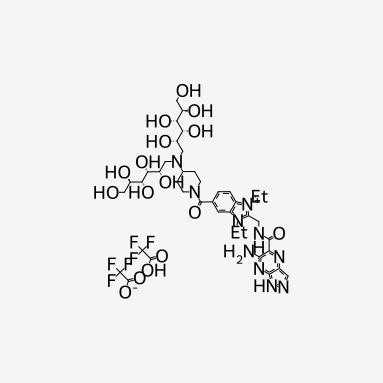 CCn1c(CNC(=O)c2nc3cn[nH]c3nc2N)[n+](CC)c2ccc(C(=O)N3CCC(N(C[C@H](O)[C@@H](O)[C@H](O)[C@H](O)CO)C[C@H](O)[C@@H](O)[C@H](O)[C@H](O)CO)CC3)cc21.O=C(O)C(F)(F)F.O=C([O-])C(F)(F)F